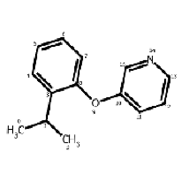 CC(C)c1ccccc1Oc1cccnc1